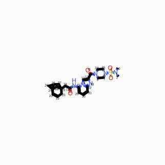 CN(C)S(=O)(=O)N1CCN(C(=O)c2cn3c(NC(=O)CC45CC=CC6(CC6C4)C5)cccc3n2)CC1